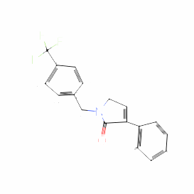 O=C1C(c2ccccc2)=CCN1Cc1ccc(C(F)(F)F)cc1